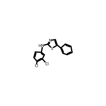 Clc1ccc(Nc2ncc(-c3ccccc3)s2)cc1Cl